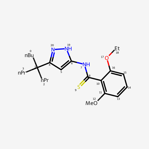 CCCCC(CCC)(CCC)c1cc(NC(=S)c2c(OC)cccc2OCC)[nH]n1